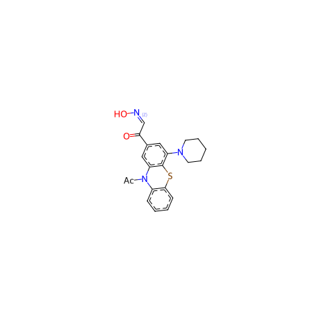 CC(=O)N1c2ccccc2Sc2c(N3CCCCC3)cc(C(=O)/C=N\O)cc21